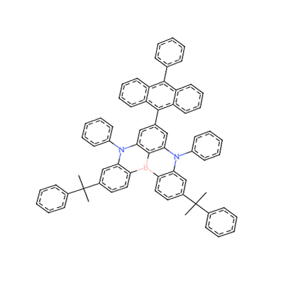 CC(C)(c1ccccc1)c1ccc2c(c1)N(c1ccccc1)c1cc(-c3c4ccccc4c(-c4ccccc4)c4ccccc34)cc3c1B2c1ccc(C(C)(C)c2ccccc2)cc1N3c1ccccc1